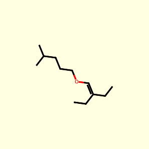 CCC(=COCCCC(C)C)CC